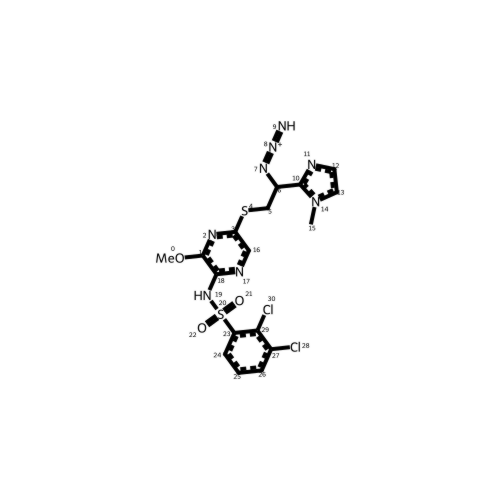 COc1nc(SCC(N=[N+]=N)c2nccn2C)cnc1NS(=O)(=O)c1cccc(Cl)c1Cl